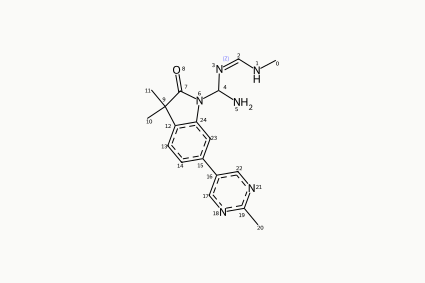 CN/C=N\C(N)N1C(=O)C(C)(C)c2ccc(-c3cnc(C)nc3)cc21